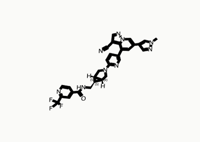 Cn1cc(-c2cc(-c3ccc(N4C[C@@H]5[C@@H](CNC(=O)c6ccnc(C(F)(F)F)c6)[C@@H]5C4)nc3)c3c(C#N)cnn3c2)cn1